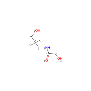 CC(C)(CO)CNC(=O)CO